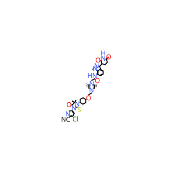 C[C@@H]1CN(CCO[C@H]2CC[C@H](N3C(=S)N(c4cnc(C#N)c(Cl)c4)C(=O)C3(C)C)CC2)C[C@H](C)N1CC(=O)Nc1cccc2c(C3CCC(=O)NC3=O)nn(C)c12